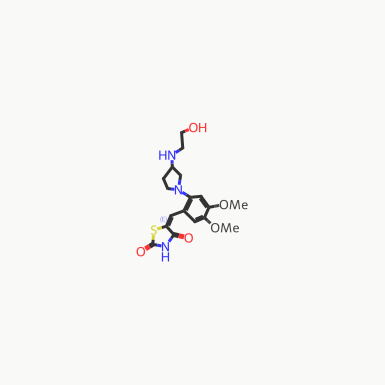 COc1cc(/C=C2/SC(=O)NC2=O)c(N2CCC(NCCO)C2)cc1OC